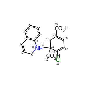 C1=Cc2ccccc2NC1.CC1(C(=O)O)CC(C(=O)O)=CC=C1Cl